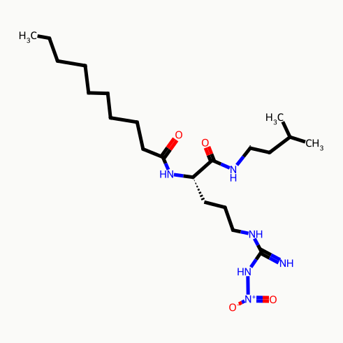 CCCCCCCCCC(=O)N[C@@H](CCCNC(=N)N[N+](=O)[O-])C(=O)N[CH]CC(C)C